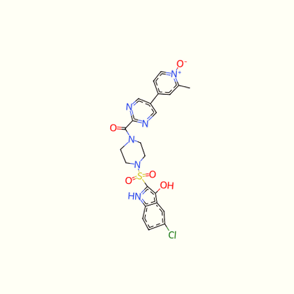 Cc1cc(-c2cnc(C(=O)N3CCN(S(=O)(=O)c4[nH]c5ccc(Cl)cc5c4O)CC3)nc2)cc[n+]1[O-]